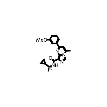 COc1cccc(-c2cc(C)n3cnc(C(=O)N[C@@H](C)C4CC4)c3n2)c1